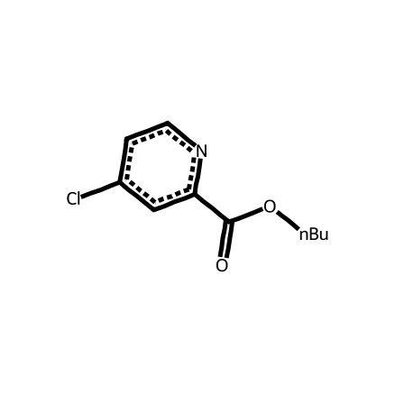 CCCCOC(=O)c1cc(Cl)ccn1